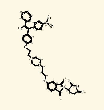 CC/C(=C(\c1ccc(OCCN2CCN(CCCNc3ccc4c(c3)C(=O)N(C3CCC(=O)NC3=O)C4=O)CC2)cc1)c1ccc(B(O)O)cc1)c1ccccc1